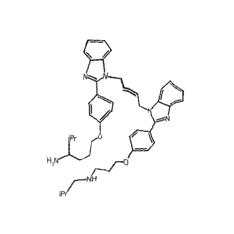 CC(C)CNCCCOc1ccc(-c2nc3ccccc3n2C/C=C/Cn2c(-c3ccc(OCCCC(N)C(C)C)cc3)nc3ccccc32)cc1